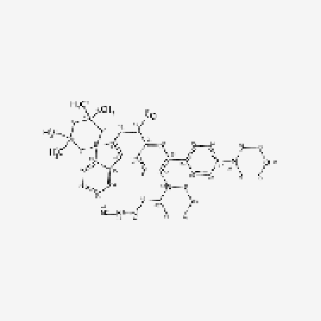 CC1(C)CC(C)(C)CC2(C1)c1ccccc1-c1c2cc(N=O)c2cc(-c3ccc(N4CCOCC4)cc3)c(N3CCCCC3CN=[N+]=[N-])cc12